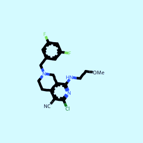 COCCNc1nc(Cl)c(C#N)c2c1CN(Cc1cc(F)cc(F)c1)CC2